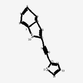 C(#Cc1cc2ccccc2s1)c1cccs1